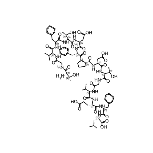 CC(C)C[C@H](NC(=O)[C@H](Cc1ccccc1)NC(=O)[C@H](CCC(=O)O)NC(=O)[C@@H](NC(=O)CNC(=O)[C@@H](NC(=O)[C@H](CC(=O)O)NC(=O)[C@@H]1CCCN1C(=O)[C@H](Cc1ccccc1)NC(=O)[C@H](CC(=O)O)NC(=O)[C@@H](NC(=O)[C@H](Cc1ccccc1)NC(=O)[C@@H](NC(=O)CNC(=O)[C@@H](N)[C@@H](C)O)C(C)C)[C@@H](C)O)[C@@H](C)O)C(C)C)C(=O)O